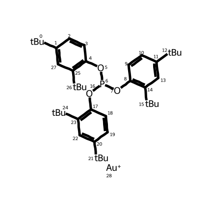 CC(C)(C)c1ccc(OP(Oc2ccc(C(C)(C)C)cc2C(C)(C)C)Oc2ccc(C(C)(C)C)cc2C(C)(C)C)c(C(C)(C)C)c1.[Au+]